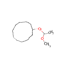 COC(C)OC1CCCCCCCCCC1